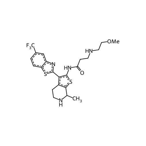 COCCNCCC(=O)Nc1sc2c(c1-c1nc3cc(C(F)(F)F)ccc3s1)CCNC2C